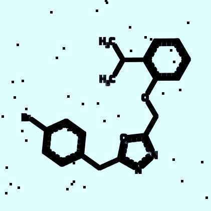 CC(C)c1ccccc1OCc1nnc(Cc2ccc(Br)cc2)o1